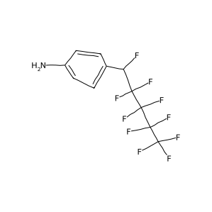 Nc1ccc(C(F)C(F)(F)C(F)(F)C(F)(F)C(F)(F)F)cc1